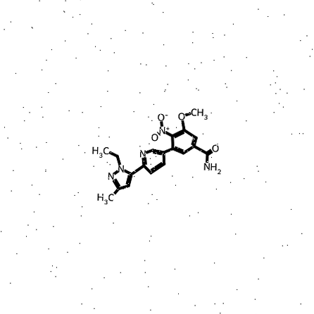 CCn1nc(C)cc1-c1ccc(-c2cc(C(N)=O)cc(OC)c2[N+](=O)[O-])cn1